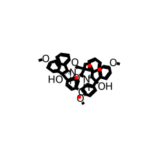 COc1ccc(C(O)(c2ccc(OC)cc2)[C@H](NC(=O)C2(C(=O)N[C@H](c3ccccc3)C(O)(c3ccc(OC)cc3)c3ccc(OC)cc3)CCC2)c2ccccc2)cc1